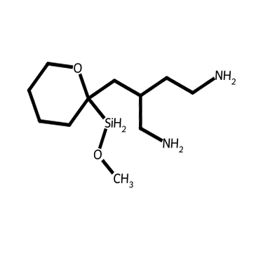 CO[SiH2]C1(CC(CN)CCN)CCCCO1